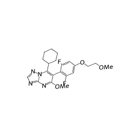 COCCOc1cc(F)c(-c2c(OC)nc3ncnn3c2C2CCCCC2)c(F)c1